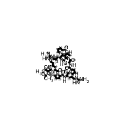 CC(=O)N[C@H](C(=O)N[C@@H](CCCCN)C(=O)N1CCC[C@H]1C(=O)N[C@@H](CCCNC(=N)N)C(=O)N1CCC[C@H]1C(=O)NCC(=O)N1CCC[C@H]1C(=O)N[C@@H](CCCNC(=N)N)C(=O)N1CCC[C@H]1C(=O)O)[C@@H](C)O